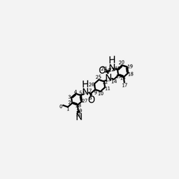 CCc1ccc(NC(=O)C2CCC(N3Cc4c(C)cccc4NC3=O)CC2)cc1C#N